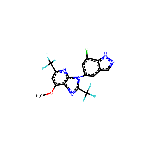 COc1cc(C(F)(F)F)nc2c1nc(C(F)(F)F)n2-c1cc(Cl)c2[nH]ncc2c1